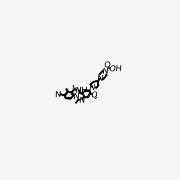 COc1cc2nc(C)nc(N[C@H](C)c3cccc(C#N)c3C)c2cc1N1CCC(N2CCN(C(=O)O)CC2)CC1